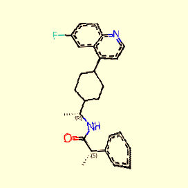 C[C@H](C(=O)N[C@H](C)C1CCC(c2ccnc3ccc(F)cc23)CC1)c1ccccc1